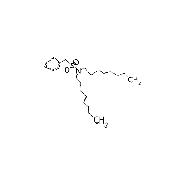 CCCCCCCCN(CCCCCCCC)S(=O)(=O)Cc1ccccc1